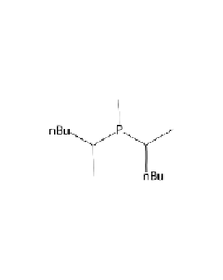 CCCCC(C)P(C)C(C)CCCC